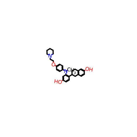 CN(c1ccc(OCCN2CCCCC2)cc1)c1cc(O)ccc1C1CCc2cc(O)ccc2C1